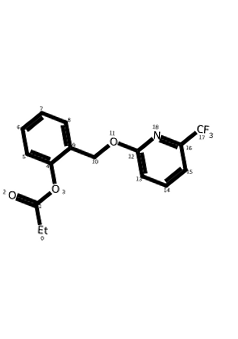 CCC(=O)Oc1ccccc1COc1cccc(C(F)(F)F)n1